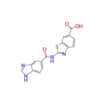 O=C(O)c1ccc2nc(NC(=O)c3ccc4[nH]cnc4c3)sc2c1